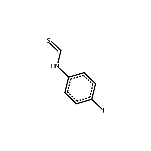 S=CNc1ccc(I)cc1